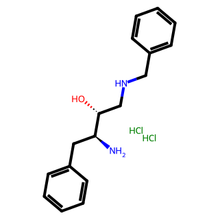 Cl.Cl.N[C@@H](Cc1ccccc1)[C@H](O)CNCc1ccccc1